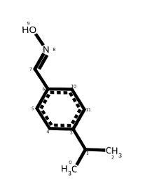 CC(C)c1ccc(/C=N/O)cc1